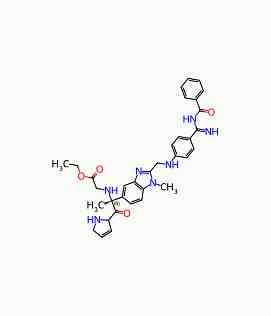 CCOC(=O)CN[C@@](C)(C(=O)C1C=CCN1)c1ccc2c(c1)nc(CNc1ccc(C(=N)NC(=O)c3ccccc3)cc1)n2C